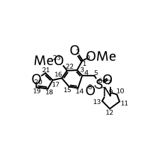 COC(=O)c1c(CS(=O)(=O)N2CCCC2)ccc(-c2ccoc2)c1OC